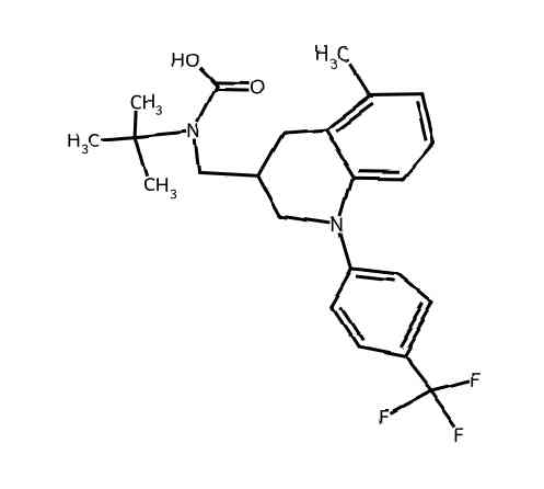 Cc1cccc2c1CC(CN(C(=O)O)C(C)(C)C)CN2c1ccc(C(F)(F)F)cc1